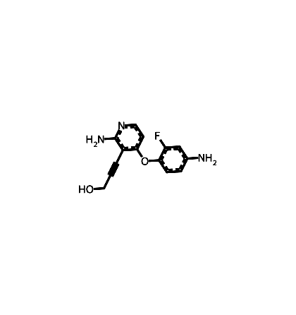 Nc1ccc(Oc2ccnc(N)c2C#CCO)c(F)c1